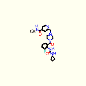 CC(C)(C)NC(=O)c1ccnc(CN2CCN(C(=O)c3cccc(F)c3NC(=O)NC3CCC3)CC2)c1